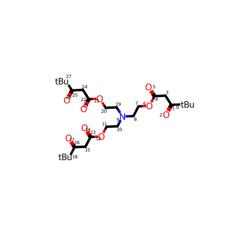 CC(C)(C)C(=O)CC(=O)OCCN(CCOC(=O)CC(=O)C(C)(C)C)CCOC(=O)CC(=O)C(C)(C)C